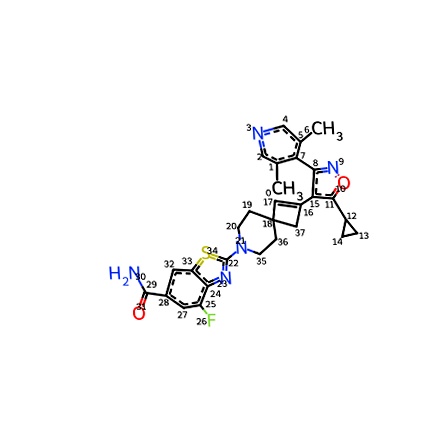 Cc1cncc(C)c1-c1noc(C2CC2)c1C1=CC2(CCN(c3nc4c(F)cc(C(N)=O)cc4s3)CC2)C1